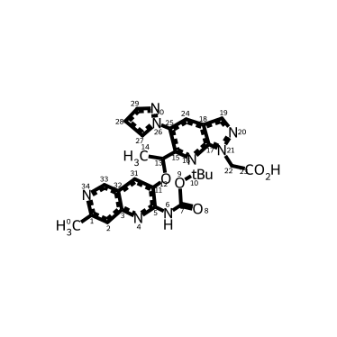 Cc1cc2nc(NC(=O)OC(C)(C)C)c(OC(C)c3nc4c(cnn4CC(=O)O)cc3-n3cccn3)cc2cn1